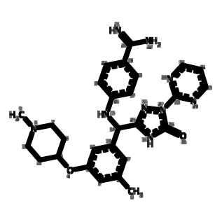 Cc1cc(OC2CCN(C)CC2)cc(C(Nc2ccc(C(=N)N)cc2)c2nn(-c3ncccn3)c(=O)[nH]2)c1